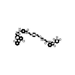 O=C1CCC(N2Cc3c(NC(=O)CNCCOCCN4CCN(CCNC(=O)c5ccc(Nc6ncc7c(n6)-c6ccc(Cl)cc6C(c6c(F)cccc6F)=NC7)cc5)CC4)cccc3C2=O)C(=O)N1